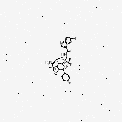 C[C@]1(C(N)=O)COc2c1cc([C@@](O)(CNC(=O)c1cnc3ccc(F)cn13)C(F)(F)F)nc2-c1ccc(F)cc1